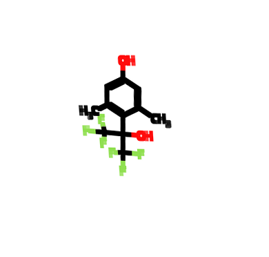 Cc1cc(O)cc(C)c1C(O)(C(F)(F)F)C(F)(F)F